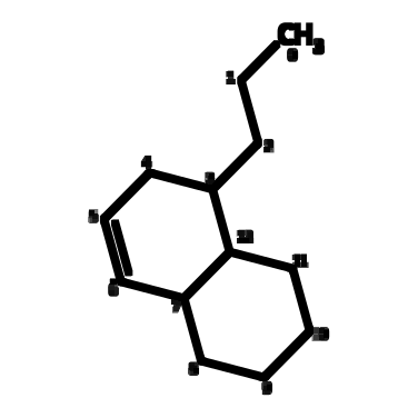 CCCC1CC=[C]C2CCCCC21